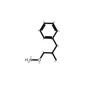 CC(CON)Cc1ccccc1